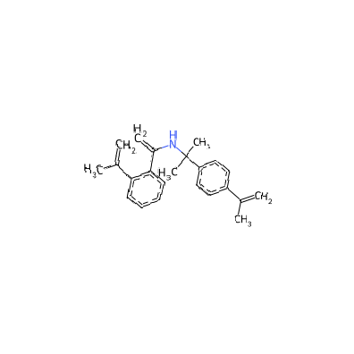 C=C(C)c1ccc(C(C)(C)NC(=C)c2ccccc2C(=C)C)cc1